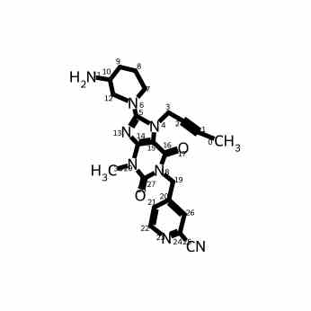 CC#CCn1c(N2CCCC(N)C2)nc2c1c(=O)n(Cc1ccnc(C#N)c1)c(=O)n2C